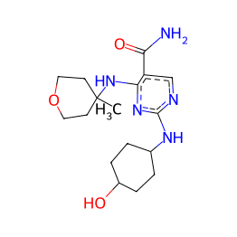 CC1(Nc2nc(NC3CCC(O)CC3)ncc2C(N)=O)CCOCC1